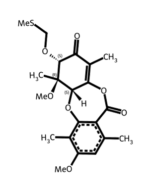 COc1cc(C)c2c(c1C)O[C@H]1C(=C(C)C(=O)[C@@H](OCSC)[C@]1(C)OC)OC2=O